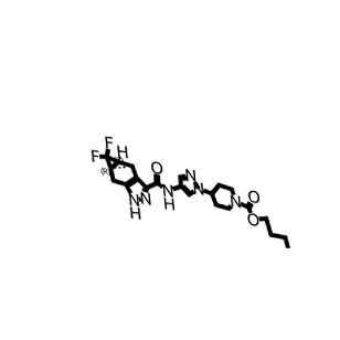 CCCCOC(=O)N1CCC(n2cc(NC(=O)c3n[nH]c4c3C[C@@H]3C(F)(F)[C@]3(C)C4)cn2)CC1